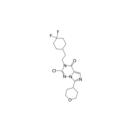 O=c1c2cnc(C3CCOCC3)n2nc(Cl)n1CCC1CCC(F)(F)CC1